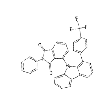 O=C1c2cccc(-n3c4ccccc4c4cccc(-c5ccc(C(F)(F)F)cc5)c43)c2C(=O)N1c1ccccc1